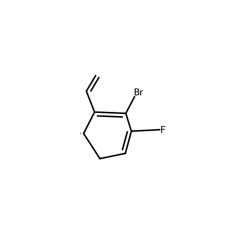 C=CC1=C(Br)C(F)=CC[CH]1